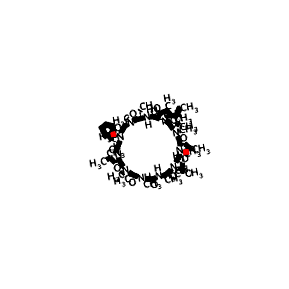 C/C=C/C[C@@H](C)[C@@H](O)[C@H]1C(=O)N[C@@H](CC)C(=O)N(C)CC(=O)N(C)[C@@H](Cc2ccccc2)C(=O)N[C@@H](CC(C)C)C(=O)N(C)[C@@H](C)C(=O)N[C@@H](C)C(=O)N[C@H](C)C(=O)N(C)[C@@H](CC(C)C)C(=O)N(C)[C@@H](CC(C)C)C(=O)N(C)[C@@H](C(C)C)C(=O)N1C